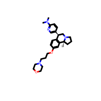 CN(C)c1ccc([C@H]2CN3CCC[C@H]3c3cc(OCCCN4CCOCC4)ccc32)cn1